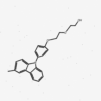 Cc1ccc2c(c1)c1ccccc1n2-c1ccc(OCCOCCO)cc1